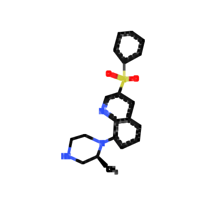 C[C@H]1CNCCN1c1cccc2cc(S(=O)(=O)c3ccccc3)cnc12